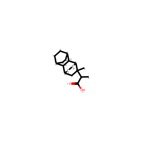 CC(C(=O)O)C1(C)CC2CCC1C1C3CCC(CC3)C21